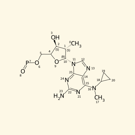 C[C@H]1[C@H](O)C(COP=O)O[C@H]1n1cnc2c(N(C)C3CC3)nc(N)nc21